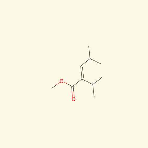 COC(=O)C(=CC(C)C)C(C)C